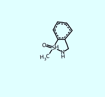 C[SH]1(=O)NCc2ccccc21